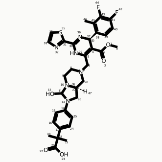 COC(=O)C1=C(CN2CCN3C(O)N(c4ccc(C(C)(C)C(=O)O)cc4)C[C@@H]3C2)NC(c2nccs2)=N[C@H]1c1ccc(F)c(F)c1C